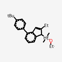 C[CH][O][Hf]([CH3])([CH3])[CH]1C(CC)=Cc2c(-c3ccc(C(C)(C)C)cc3)cccc21